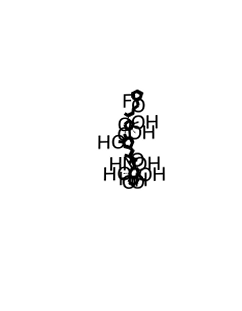 C/C(=C\c1ccc(O[C@@H]2O[C@H](/C(C)=C/COc3ccccc3F)[C@@H](O)[C@@H]2O)c(O)c1)C(=O)N[C@@H]1[C@H](O)[C@@H](O)[C@H]2OCO[C@H]2[C@@H]1O